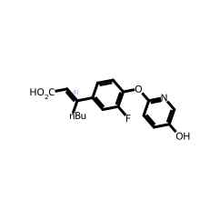 CCCC/C(=C\C(=O)O)c1ccc(Oc2ccc(O)cn2)c(F)c1